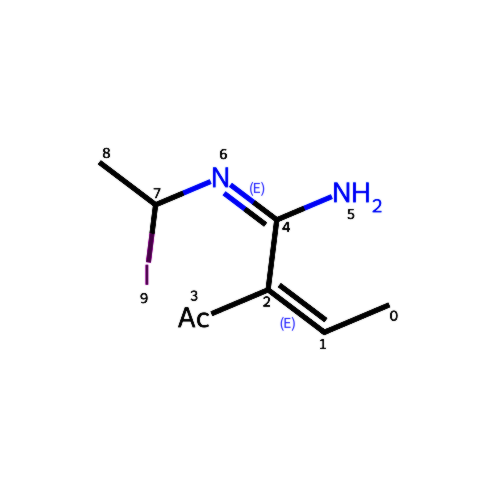 C/C=C(C(C)=O)\C(N)=N/C(C)I